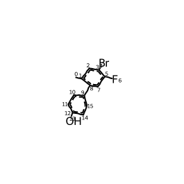 Cc1cc(Br)c(F)cc1-c1ccc(O)cc1